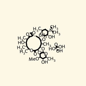 CO[C@H]1C[C@H](O[C@H]2[C@H](C)[C@@H](O[C@@H]3O[C@H](C)C[C@H](N(C)C)[C@H]3O)[C@@H](C)C[C@@]3(CO3)C(=O)[C@H](C)[C@@H](O)[C@@H](C)[C@@H](C)OC(=O)[C@@H]2C)O[C@@H](C)[C@@H]1O.O=P(O)(O)O